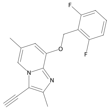 C#Cc1c(C)nc2c(OCc3c(F)cccc3F)cc(C)cn12